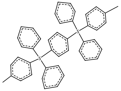 Cc1ccc(S(c2ccccc2)(c2ccccc2)c2ccc(S(c3ccccc3)(c3ccccc3)c3ccc(C)cc3)cc2)cc1